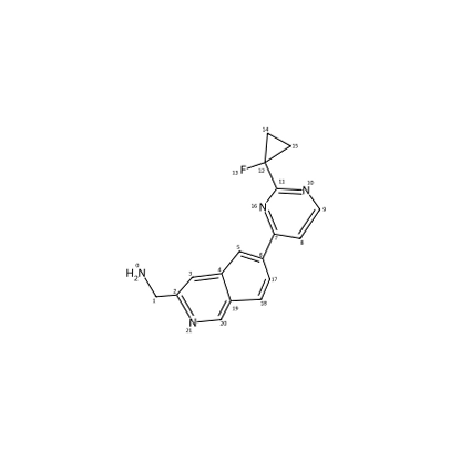 NCc1cc2cc(-c3ccnc(C4(F)CC4)n3)ccc2cn1